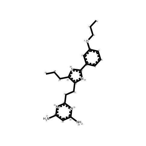 CCCOc1cccc(-c2nc(CCc3nc(N)cc(N)n3)c(CCC)s2)c1